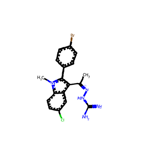 C/C(=N/NC(=N)N)c1c(-c2ccc(Br)cc2)n(C)c2ccc(Cl)cc12